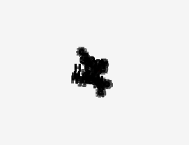 CO[C@@H]1[C@H](OP(=S)(OCc2ccccc2C(F)(F)F)OC[C@H]2O[C@@H](n3cnc4c(N(Cc5ccccc5)Cc5ccccc5)ncnc43)[C@H](OC)[C@@H]2O[Si](C)(C)C(C)(C)C)[C@@H](CO)O[C@H]1n1ccc(=O)n(COCc2ccccc2)c1=O